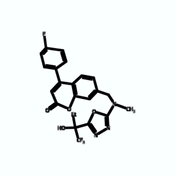 CCC(O)(c1nnc(N(C)Cc2ccc3c(-c4ccc(F)cc4)cc(=O)oc3c2)o1)C(F)(F)F